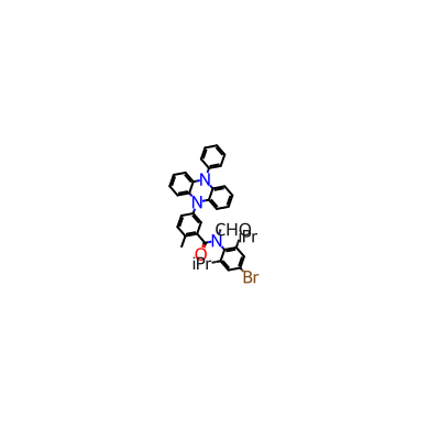 Cc1ccc(N2c3ccccc3N(c3ccccc3)c3ccccc32)cc1C(=O)N(C=O)c1c(C(C)C)cc(Br)cc1C(C)C